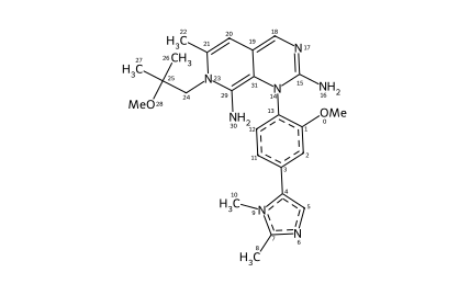 COc1cc(-c2cnc(C)n2C)ccc1N1C(N)=NC=C2C=C(C)N(CC(C)(C)OC)C(N)=C21